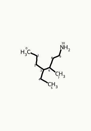 CCCC(CC)C(C)CCN